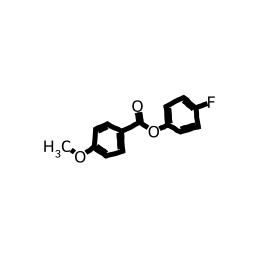 COc1ccc(C(=O)Oc2ccc(F)cc2)cc1